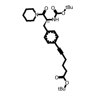 CC(C)(C)OC(=O)CCCC#Cc1ccc(C[C@H](NC(=O)OC(C)(C)C)C(=O)N2CCCCC2)cc1